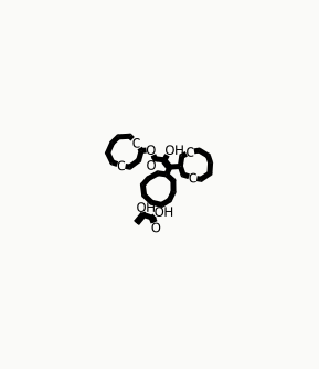 C=C(O)C(=O)O.O=C(OC1CCCCCCCCC1)C(O)=C(C1CCCCCCCCC1)C1CCCCCCCCC1